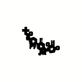 Cn1nc(N2CCC(=O)NC2=O)c2cc(F)c([C@@H]3CCN(OC(=O)CC(C)(C)C)CC3(F)F)cc21